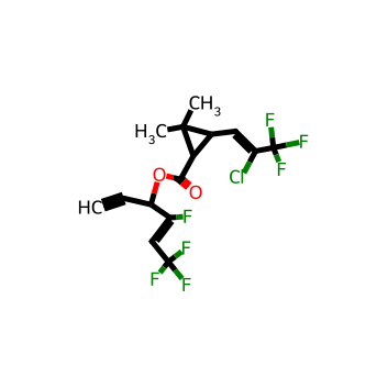 C#CC(OC(=O)C1C(C=C(Cl)C(F)(F)F)C1(C)C)C(F)=CC(F)(F)F